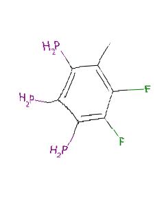 Cc1c(F)c(F)c(P)c(P)c1P